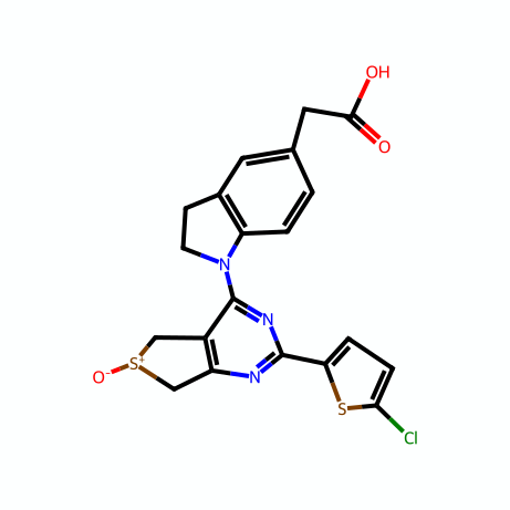 O=C(O)Cc1ccc2c(c1)CCN2c1nc(-c2ccc(Cl)s2)nc2c1C[S+]([O-])C2